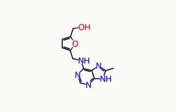 Cc1nc2c(NCc3ccc(CO)o3)ncnc2[nH]1